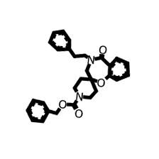 O=C(OCc1ccccc1)N1CCC2(CC1)CN(CCc1ccccc1)C(=O)c1ccccc1O2